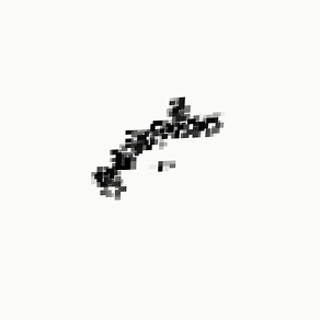 CS(=O)(=O)/N=C1/CC=CC=CN1CCCNC(=O)C1CCN(c2ncc(C(=O)Nc3nc(-c4cc(Cl)cs4)c(N4CCN(C5CCCCC5)CC4)s3)cc2Cl)CC1.Cl